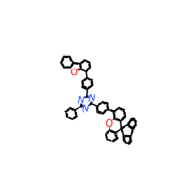 c1ccc(-c2nc(-c3ccc(-c4cccc5c4Oc4ccccc4C54c5ccccc5-c5ccccc54)cc3)nc(-c3ccc(-c4cccc5c4oc4ccccc45)cc3)n2)cc1